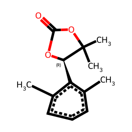 Cc1cccc(C)c1[C@H]1OC(=O)OC1(C)C